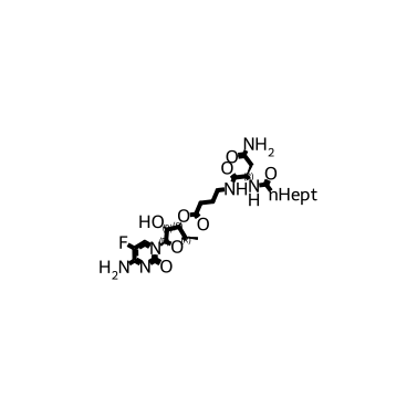 CCCCCCCC(=O)N[C@H](CC(N)=O)C(=O)NCCCC(=O)O[C@H]1[C@@H](O)[C@H](n2cc(F)c(N)nc2=O)O[C@@H]1C